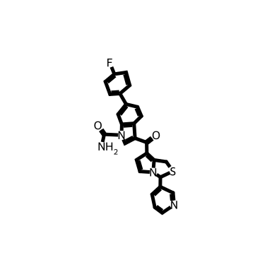 NC(=O)n1cc(C(=O)c2ccn3c2CSC3c2cccnc2)c2ccc(-c3ccc(F)cc3)cc21